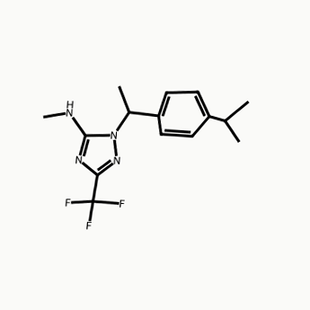 CNc1nc(C(F)(F)F)nn1C(C)c1ccc(C(C)C)cc1